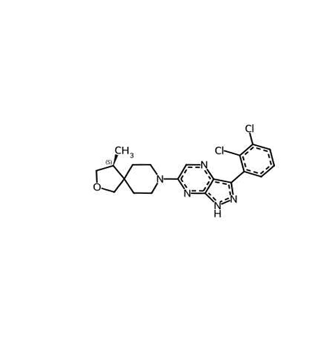 C[C@@H]1COCC12CCN(c1cnc3c(-c4cccc(Cl)c4Cl)n[nH]c3n1)CC2